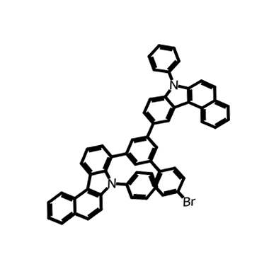 Brc1ccc(-c2cc(-c3ccc4c(c3)c3c5ccccc5ccc3n4-c3ccccc3)cc(-c3cccc4c5c6ccccc6ccc5n(-c5ccccc5)c34)c2)cc1